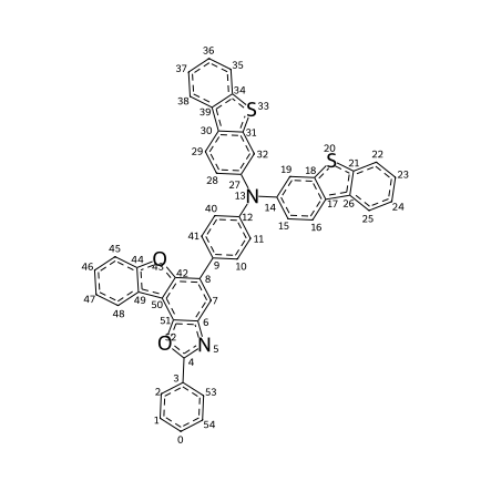 c1ccc(-c2nc3cc(-c4ccc(N(c5ccc6c(c5)sc5ccccc56)c5ccc6c(c5)sc5ccccc56)cc4)c4oc5ccccc5c4c3o2)cc1